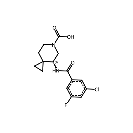 O=C(N[C@@H]1CN(C(=O)O)CCC12CC2)c1cc(F)cc(Cl)c1